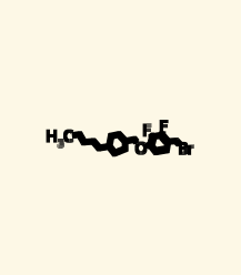 CCCCCC1CCC(COc2ccc(CBr)c(F)c2F)CC1